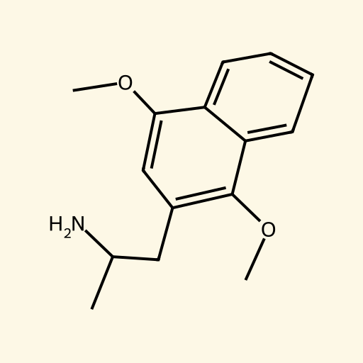 COc1cc(CC(C)N)c(OC)c2ccccc12